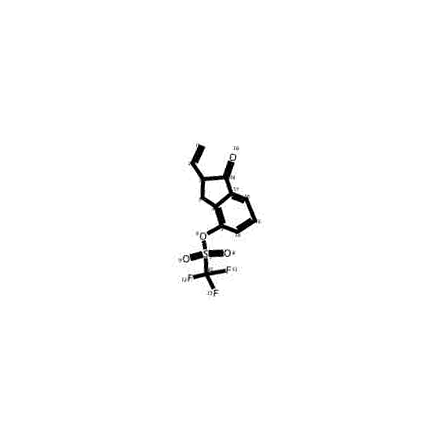 C=CC1Cc2c(OS(=O)(=O)C(F)(F)F)cccc2C1=O